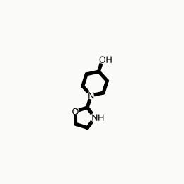 OC1CCN(C2NCCO2)CC1